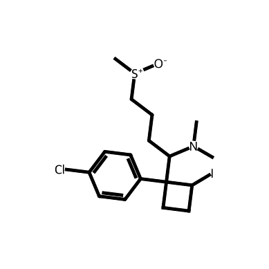 CN(C)C(CCC[S+](C)[O-])C1(c2ccc(Cl)cc2)CCC1I